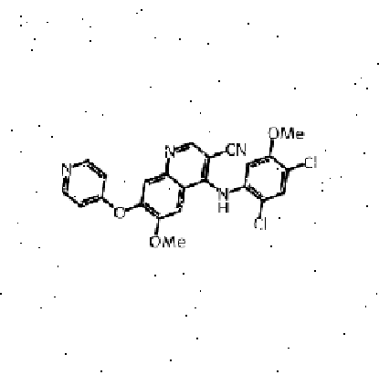 COc1cc(Nc2c(C#N)cnc3cc(Oc4ccncc4)c(OC)cc23)c(Cl)cc1Cl